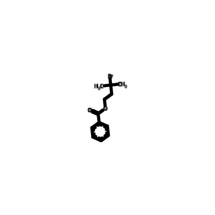 CC(C)(Br)CCOC(=O)c1ccccc1